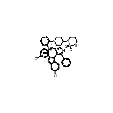 C[C@@H](c1ccc(Cl)cc1)n1cnc(-c2ccccc2)c1-c1c(C(=O)Nc2cccnc2N2CCC(N3CCCNS3(=O)=O)CC2)[nH]c2cc(Cl)ccc12